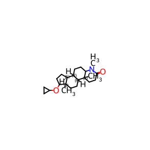 CN1C(=O)CC[C@@]2(C)C1CC[C@@H]1[C@H]2CC[C@]2(C)C(OC3CC3)CC[C@@H]12